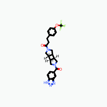 O=C(CCc1ccc(OC(F)(F)F)cc1)N1CC2[C@@H](C1)[C@@H]1CN(C(=O)c3ccc4[nH]nnc4c3)C[C@H]21